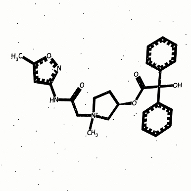 Cc1cc(NC(=O)C[N+]2(C)CC[C@@H](OC(=O)C(O)(c3ccccc3)c3ccccc3)C2)no1